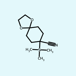 C[Si](C)(C)C1(C#N)CCC2(CC1)OCCO2